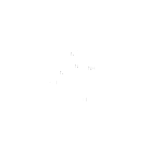 Oc1cccc(-c2nc(Nc3ccc(Cl)cc3)c3ccccc3n2)n1